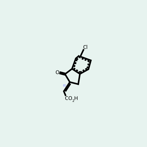 O=C(O)/C=C1\Cc2ccc(Cl)cc2C1=O